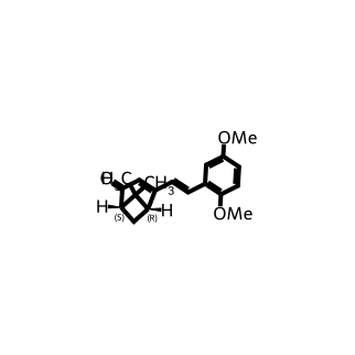 COc1ccc(OC)c(C=CC2=CC(=O)[C@H]3C[C@@H]2C3(C)C)c1